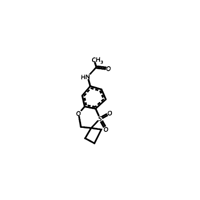 CC(=O)Nc1ccc2c(c1)OCC1(CCC1)S2(=O)=O